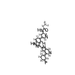 CC(C)CC(=O)Nc1cncc(-c2ccc3[nH]nc(-c4cc5c(-c6cccc(F)c6)cncc5[nH]4)c3c2)c1